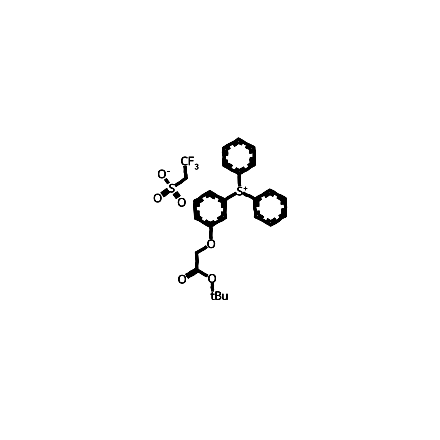 CC(C)(C)OC(=O)COc1cccc([S+](c2ccccc2)c2ccccc2)c1.O=S(=O)([O-])CC(F)(F)F